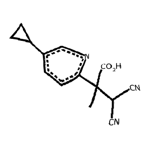 CC(C(=O)O)(c1ccc(C2CC2)cn1)C(C#N)C#N